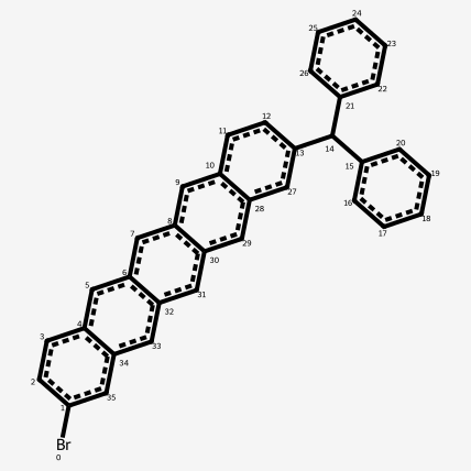 Brc1ccc2cc3cc4cc5ccc(C(c6ccccc6)c6ccccc6)cc5cc4cc3cc2c1